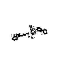 O=C(NO)[C@H](CCCCCCc1c[nH]c2ccccc12)NS(=O)(=O)c1ccc2c3c(oc2c1)CCCC3